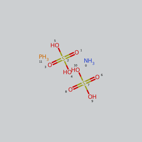 N.O=S(=O)(O)O.O=S(=O)(O)O.P